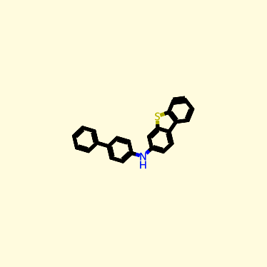 c1ccc2c(c#1)sc1cc(Nc3ccc(-c4ccccc4)cc3)ccc12